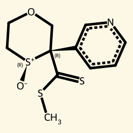 CSC(=S)[C@@]1(c2cccnc2)COCC[S@+]1[O-]